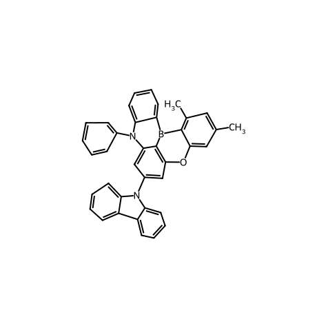 Cc1cc(C)c2c(c1)Oc1cc(-n3c4ccccc4c4ccccc43)cc3c1B2c1ccccc1N3c1ccccc1